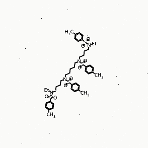 CCN(CCCCN(CCCCCN(CCCCN(CC)S(=O)(=O)c1ccc(C)cc1)S(=O)(=O)c1ccc(C)cc1)S(=O)(=O)c1ccc(C)cc1)S(=O)(=O)c1ccc(C)cc1